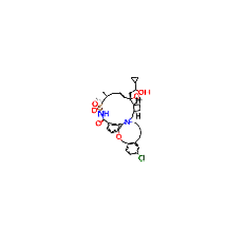 CO[C@@]1(C[C@H](O)C2CC2)/C=C/C[C@H](C)[C@@H](C)S(=O)(=O)NC(=O)c2ccc3c(c2)N(CCCCc2cc(Cl)ccc2CO3)C[C@@H]2CC[C@H]21